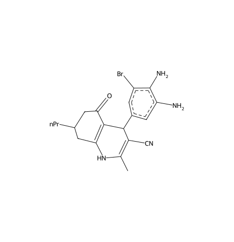 CCCC1CC(=O)C2=C(C1)NC(C)=C(C#N)C2c1cc(N)c(N)c(Br)c1